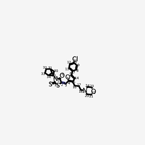 O=C1/C(=C\c2oc(-c3ccc(Cl)cc3)cc2CCCN2CCOCC2)SC(=S)N1C1CC2CCC1C2